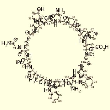 CCCC[C@H]1C(=O)N(C)[C@@H](CCCC)C(=O)N[C@@H](CC(C)C)C(=O)N[C@H](C(=O)NCC(N)=O)CSCC(=O)N[C@@H](Cc2ccc(O)cc2)C(=O)N(C)[C@@H](C)C(=O)N[C@@H](CC(N)=O)C(=O)N2CCC[C@H]2C(=O)N[C@@H](Cc2cnc[nH]2)C(=O)N[C@@H](CCC(=O)O)C(=O)N(CC)CC(=O)N[C@@H](Cc2c[nH]c3ccccc23)C(=O)N[C@@H](CCN)C(=O)N[C@@H](Cc2c[nH]c3ccccc23)C(=O)N1C